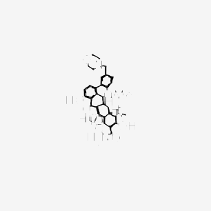 COc1ccc(CN2CCOCC2)cc1-c1ccc(O)c2c1C[C@@H]1C[C@@H]3[C@@H](N(C)C)C(O)=C(C(N)=O)C(=O)[C@]3(O)C(O)=C1C2=O